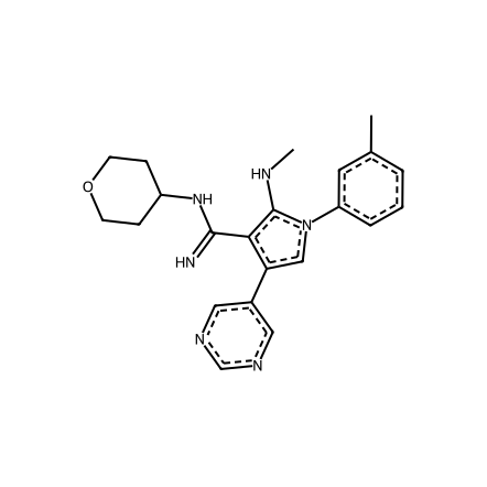 CNc1c(C(=N)NC2CCOCC2)c(-c2cncnc2)cn1-c1cccc(C)c1